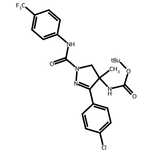 CC(C)(C)OC(=O)NC1(C)CN(C(=O)Nc2ccc(C(F)(F)F)cc2)N=C1c1ccc(Cl)cc1